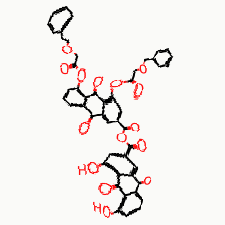 O=C(COCc1ccccc1)Oc1cccc2c1C(=O)c1c(OC(=O)COCc3ccccc3)cc(C(=O)OC(=O)c3cc(O)c4c(c3)C(=O)c3cccc(O)c3C4=O)cc1C2=O